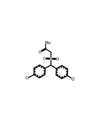 CC(C)(C)C(=O)CS(=O)(=O)C(c1ccc(Cl)cc1)c1ccc(Cl)cc1